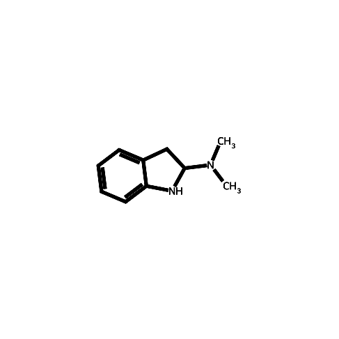 CN(C)C1Cc2ccccc2N1